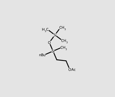 CCCC[Si](C)(CCOC(C)=O)O[Si](C)(C)C